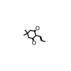 [CH2]C=CC1C(=O)CC(C)(C)CC1=O